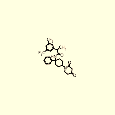 CC(C(=O)NC1(c2ccccc2)CCC(N2CCC(=O)CC2=O)CC1)c1cc(C(F)(F)F)cc(C(F)(F)F)c1